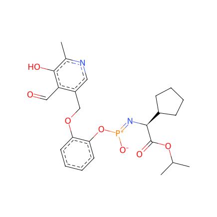 Cc1ncc(COc2ccccc2O[P+]([O-])=N[C@H](C(=O)OC(C)C)C2CCCC2)c(C=O)c1O